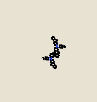 CC1(C)c2ccccc2-c2ccc(N(c3ccc([Si](C)(C)C)cc3)c3ccc4c(c3)C(C)(C)c3cccc5c3c-4cc3ccc(N(c4ccc([Si](C)(C)C)cc4)c4ccc6c(c4)C(C)(C)c4ccccc4-6)cc35)cc21